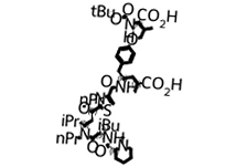 CCCO[C@H](C[C@H](C(C)C)N(CCC)C(=O)[C@@H](NC(=O)[C@H]1CCCCN1C)[C@@H](C)CC)c1nc(C(=O)N[C@@H](Cc2ccc(OCC(C)[C@@H](NC(=O)OC(C)(C)C)C(=O)O)cc2)C[C@H](C)C(=O)O)cs1